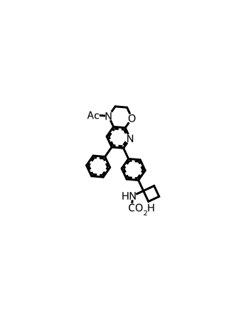 CC(=O)N1CCOc2nc(-c3ccc(C4(NC(=O)O)CCC4)cc3)c(-c3ccccc3)cc21